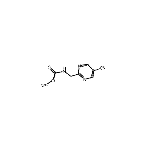 CC(C)(C)OC(=O)NCc1ncc(C#N)cn1